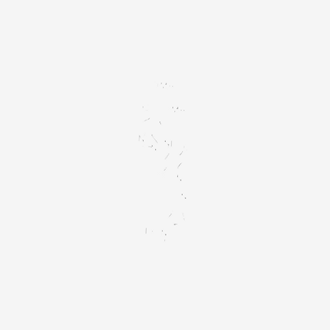 COCCOc1cc2ncnc(NC3=CC(=O)C(N4CCN(Cc5ccc(N(C)C)cc5)CC4)=CC3=O)c2cc1OC